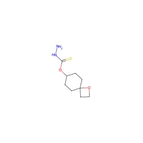 NNC(=S)OC1CCC2(CCO2)CC1